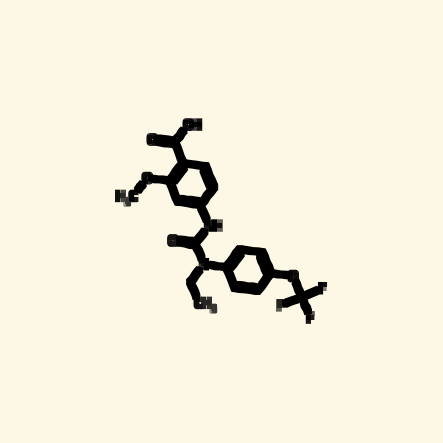 CCN(C(=O)Nc1ccc(C(=O)O)c(OC)c1)c1ccc(OC(F)(F)F)cc1